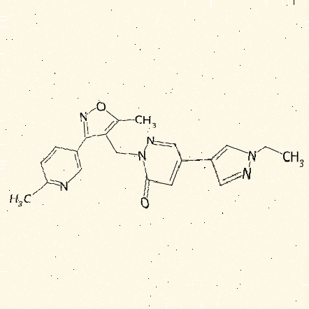 CCn1cc(-c2cnn(Cc3c(-c4ccc(C)nc4)noc3C)c(=O)c2)cn1